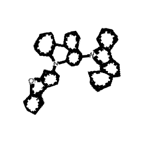 c1ccc(-c2ccccc2N(c2ccc(-n3c4ccccc4c4ccc5ccccc5c43)cc2)c2ccc3c(c2)oc2ccccc23)cc1